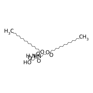 CCCCCCCCCCCCCCCC(=O)OCC(CNC(=O)C(N)CC(=O)O)OC(=O)CCCCCCCCCCCCCCC